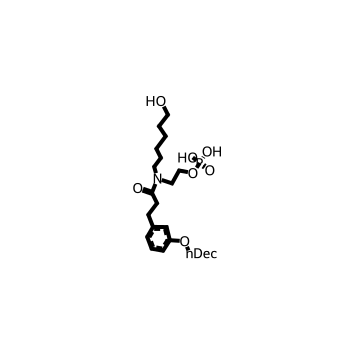 CCCCCCCCCCOc1cccc(CCC(=O)N(CCCCCCO)CCOP(=O)(O)O)c1